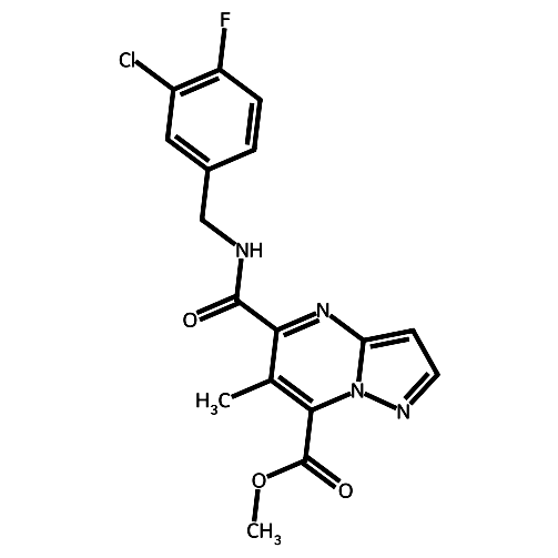 COC(=O)c1c(C)c(C(=O)NCc2ccc(F)c(Cl)c2)nc2ccnn12